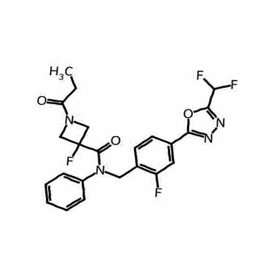 CCC(=O)N1CC(F)(C(=O)N(Cc2ccc(-c3nnc(C(F)F)o3)cc2F)c2ccccc2)C1